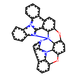 c1cc2c3c(c1)c1ccc[n+]4c1n3-c1c(ccc3c1[N+]41c4c(ccc5c6ccccc6n6c7ccccc7[n+]1c6c45)O3)O2